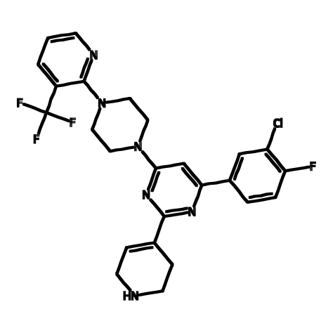 Fc1ccc(-c2cc(N3CCN(c4ncccc4C(F)(F)F)CC3)nc(C3=CCNCC3)n2)cc1Cl